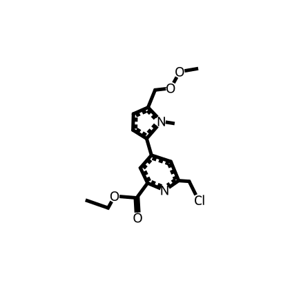 CCOC(=O)c1cc(-c2ccc(COOC)n2C)cc(CCl)n1